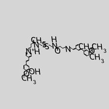 C=C(CCC[n+]1ccc(/C=C/c2ccc(OCC)c(O)c2)cc1)NCCSSCCNC(=O)CCC/N=C/C=C(\C=C/C)/C=C/c1ccc(C)c(OCC)c1